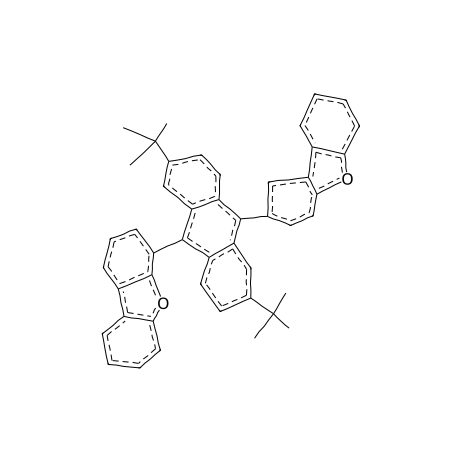 CC(C)(C)c1ccc2c(-c3cccc4c3oc3ccccc34)c3cc(C(C)(C)C)ccc3c(-c3ccc4oc5ccccc5c4c3)c2c1